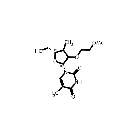 COCCOC1C(C)[C@@H](CO)O[C@H]1n1cc(C)c(=O)[nH]c1=O